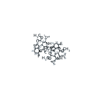 COC(=O)C1=C(C2CC2)NC(C)=C(C(C)=O)C1c1csc2ccc(F)cc12.COC(=O)C1=C(C2CC2)NC(C2CC2)=C(C(=O)OC)C1c1csc2ccc(F)cc12